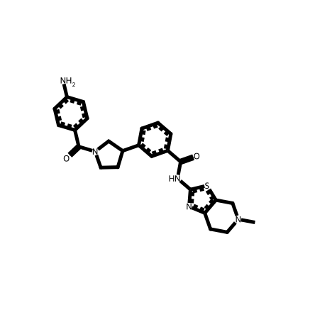 CN1CCc2nc(NC(=O)c3cccc(C4CCN(C(=O)c5ccc(N)cc5)C4)c3)sc2C1